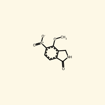 COc1c([N+](=O)[O-])ccc2c1CNC2=O